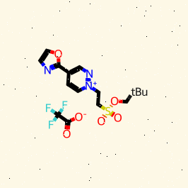 CC(C)(C)COS(=O)(=O)CC[n+]1ccc(-c2ncco2)cn1.O=C([O-])C(F)(F)F